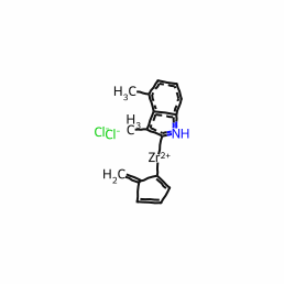 C=C1C=CC=[C]1[Zr+2][c]1[nH]c2cccc(C)c2c1C.[Cl-].[Cl-]